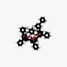 N#Cc1c(C#N)c(-n2c3ccccc3c3cc(-c4ccccc4)ccc32)c(-n2c3ccccc3c3cc(-c4ccccc4)ccc32)c(-n2c3ccccc3c3cc(-c4ccccc4)ccc32)c1-n1c2ccccc2c2cc(-c3ccccc3)ccc21